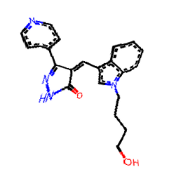 O=C1NN=C(c2ccncc2)C1=Cc1cn(CCCCO)c2ccccc12